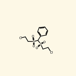 O=S(=O)(CCCl)C(c1ccccc1)S(=O)(=O)CCCl